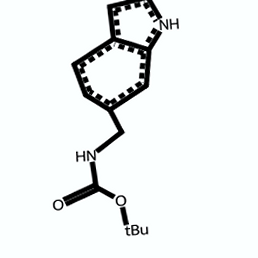 CC(C)(C)OC(=O)NCc1ccc2cc[nH]c2c1